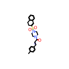 Cc1ccc(/C=C/C(=O)N2CCN(S(=O)(=O)C3=Cc4ccccc4CC3)CC2)cc1